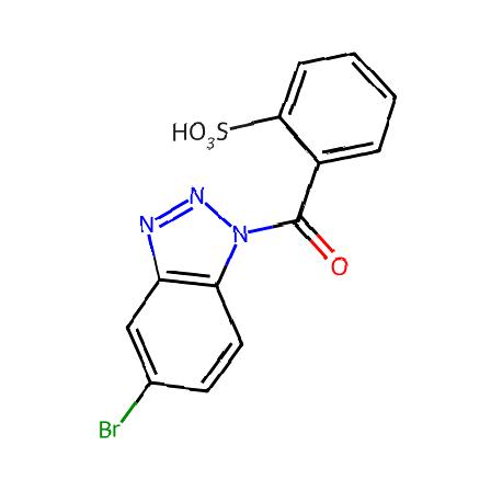 O=C(c1ccccc1S(=O)(=O)O)n1nnc2cc(Br)ccc21